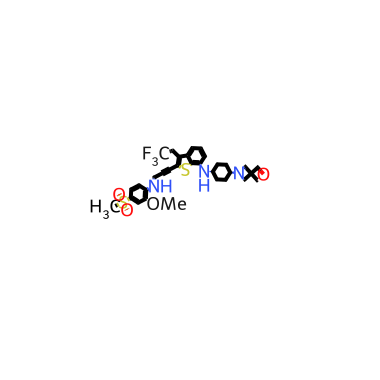 COc1cc(S(C)(=O)=O)ccc1NCC#Cc1sc2c(N[C@H]3CC[C@H](N4CC5(COC5)C4)CC3)cccc2c1CC(F)(F)F